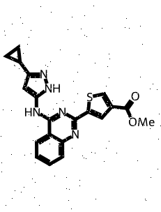 COC(=O)c1csc(-c2nc(Nc3cc(C4CC4)n[nH]3)c3ccccc3n2)c1